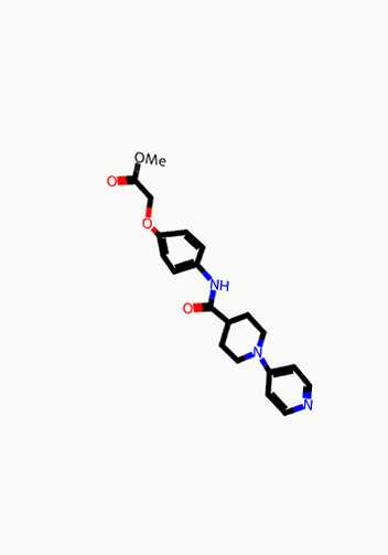 COC(=O)COc1ccc(NC(=O)C2CCN(c3ccncc3)CC2)cc1